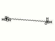 O=C(CCCCCCCCCCCCCCCCCCCCCCCCCCCCCCOP(=O)(O)O)NO